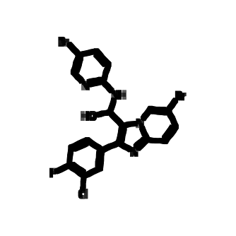 OC(Nc1ccc(Br)cn1)c1c(-c2ccc(F)c(Cl)c2)nc2ccc(Br)cn12